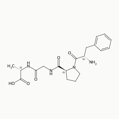 C[C@H](NC(=O)CNC(=O)[C@@H]1CCCN1C(=O)[C@@H](N)Cc1ccccc1)C(=O)O